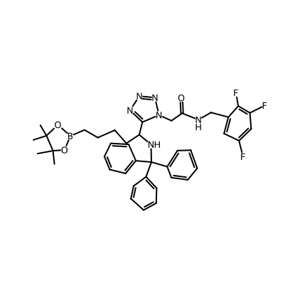 CC1(C)OB(CCCCC(NC(c2ccccc2)(c2ccccc2)c2ccccc2)c2nnnn2CC(=O)NCc2cc(F)cc(F)c2F)OC1(C)C